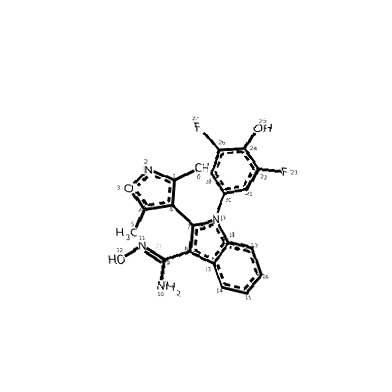 Cc1noc(C)c1-c1c(/C(N)=N/O)c2ccccc2n1-c1cc(F)c(O)c(F)c1